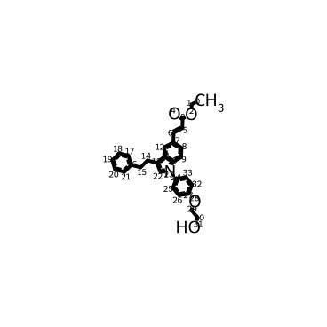 CCOC(=O)/C=C/c1ccc2c(c1)c(CCc1ccccc1)cn2-c1ccc(OCCO)cc1